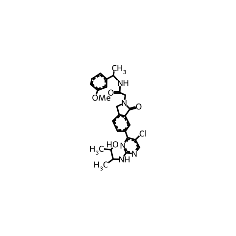 COc1cccc(C(C)NC(=O)CN2Cc3ccc(-c4nc(NC(C)C(C)O)ncc4Cl)cc3C2=O)c1